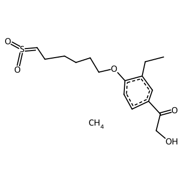 C.CCc1cc(C(=O)CO)ccc1OCCCCCC=S(=O)=O